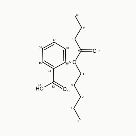 CCCCCOC(=O)CCC.O=C(O)c1ccccc1